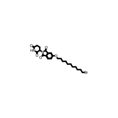 O=C1CCC(N2C(=O)c3ccc(OCCCCCCCCCCCBr)cc3C2=O)C(=O)N1